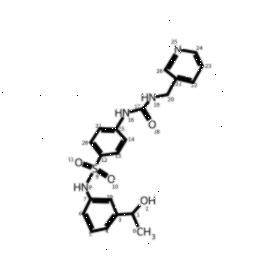 CC(O)c1cccc(NS(=O)(=O)c2ccc(NC(=O)NCc3cccnc3)cc2)c1